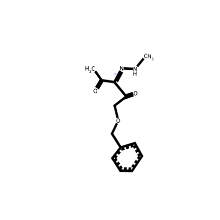 CN/N=C(/C(C)=O)C(=O)COCc1ccccc1